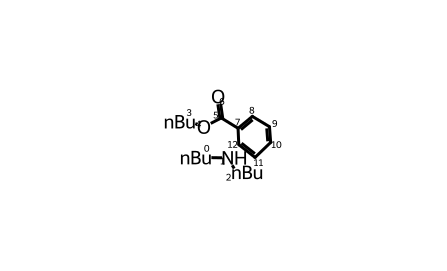 CCCCNCCCC.CCCCOC(=O)c1ccccc1